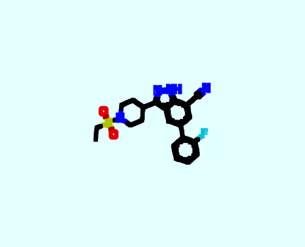 CCS(=O)(=O)N1CCC(c2n[nH]c3c(C#N)cc(-c4ccccc4F)cc23)CC1